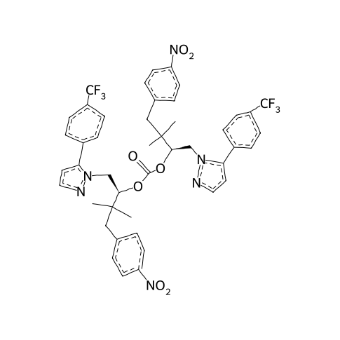 CC(C)(Cc1ccc([N+](=O)[O-])cc1)[C@@H](Cn1nccc1-c1ccc(C(F)(F)F)cc1)OC(=O)O[C@H](Cn1nccc1-c1ccc(C(F)(F)F)cc1)C(C)(C)Cc1ccc([N+](=O)[O-])cc1